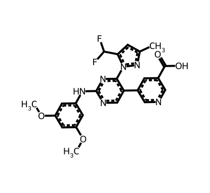 COc1cc(Nc2ncc(-c3cncc(C(=O)O)c3)c(-n3nc(C)cc3C(F)F)n2)cc(OC)c1